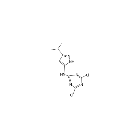 CC(C)c1cc(Nc2nc(Cl)nc(Cl)n2)[nH]n1